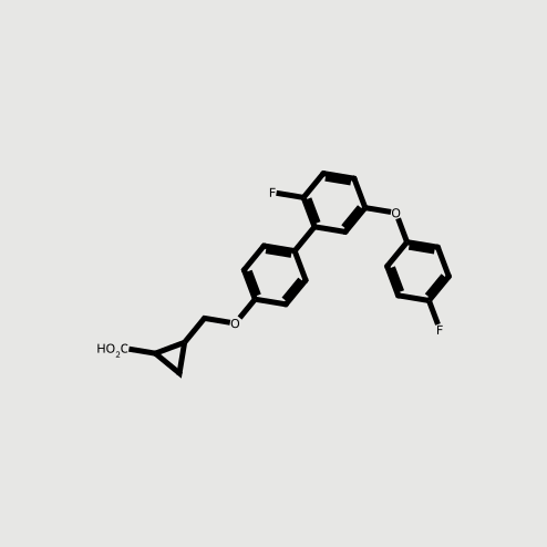 O=C(O)C1CC1COc1ccc(-c2cc(Oc3ccc(F)cc3)ccc2F)cc1